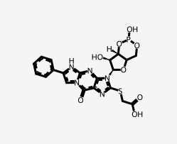 O=C(O)CSc1nc2c(=O)n3cc(-c4ccccc4)[nH]c3nc2n1[C@@H]1OC2COP(O)O[C@H]2[C@@H]1O